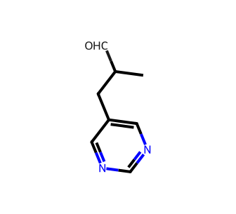 CC(C=O)Cc1cncnc1